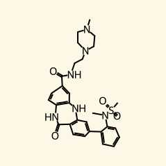 CN1CCN(CCNC(=O)c2ccc3c(c2)Nc2cc(-c4ccccc4N(C)S(C)(=O)=O)ccc2C(=O)N3)CC1